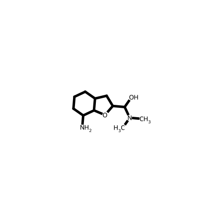 CN(C)C(O)C1CC2CCCC(N)C2O1